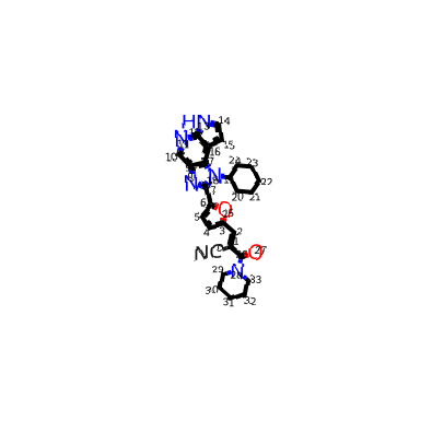 N#C/C(=C\c1ccc(-c2nc3cnc4[nH]ccc4c3n2C2CCCCC2)o1)C(=O)N1CCCCC1